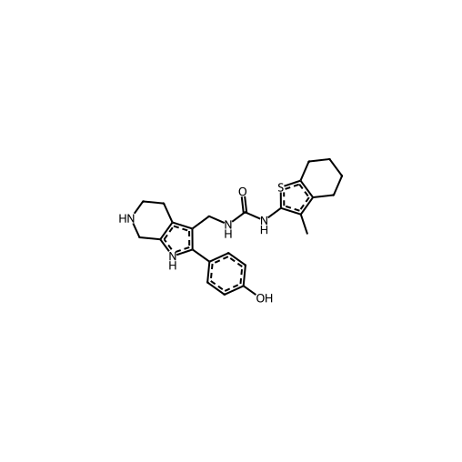 Cc1c(NC(=O)NCc2c(-c3ccc(O)cc3)[nH]c3c2CCNC3)sc2c1CCCC2